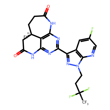 CC[C@@]12CCC(=O)Nc3nc(-c4nn(CCC(F)(F)C(F)(F)F)c5ncc(F)cc45)nc(c31)NC(=O)C2